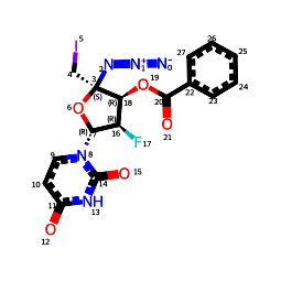 [N-]=[N+]=N[C@]1(CI)O[C@@H](n2ccc(=O)[nH]c2=O)[C@H](F)[C@@H]1OC(=O)c1ccccc1